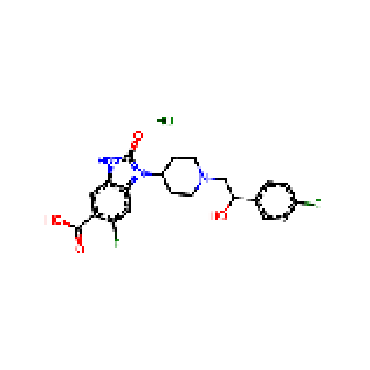 Cl.O=C(O)c1cc2[nH]c(=O)n(C3CCN(CC(O)c4ccc(Cl)cc4)CC3)c2cc1F